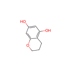 Oc1cc(O)c2c(c1)OCCC2